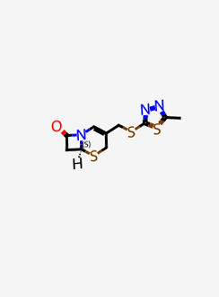 Cc1nnc(SCC2=CN3C(=O)C[C@@H]3SC2)s1